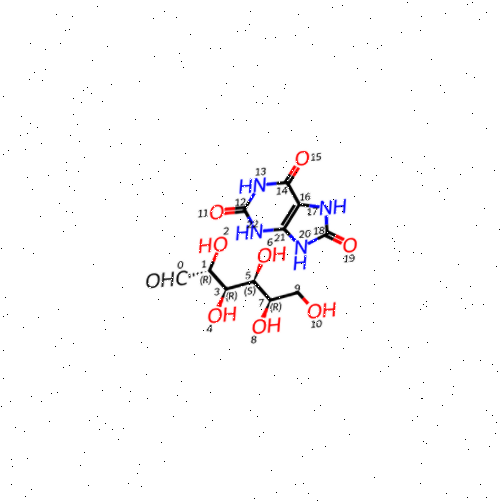 O=C[C@H](O)[C@H](O)[C@@H](O)[C@H](O)CO.O=c1[nH]c(=O)c2[nH]c(=O)[nH]c2[nH]1